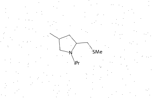 CSCC1CC(C)CN1C(C)C